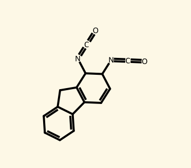 O=C=NC1C=CC2=C(Cc3ccccc32)C1N=C=O